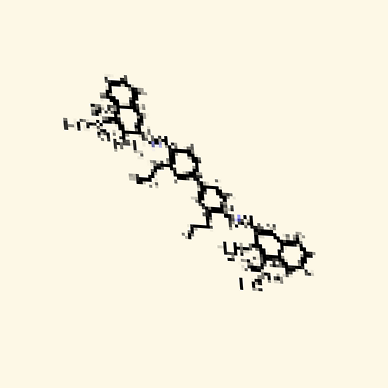 CCCc1cc(-c2ccc(/N=N/c3cc4ccccc4c(S(=O)(=O)O)c3N)c(CCC)c2)ccc1/N=N/c1cc2ccccc2c(S(=O)(=O)O)c1N